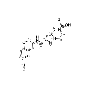 N#Cc1ccc2c(c1)CC(NC(=O)c1cc3n(n1)CCN(C(=O)O)C3)CO2